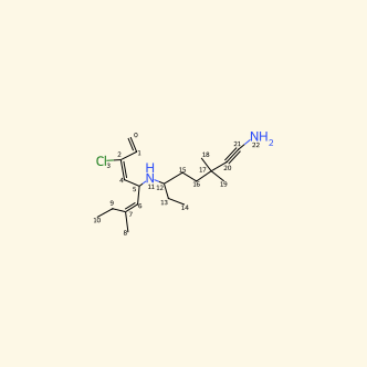 C=C/C(Cl)=C\C(/C=C(/C)CC)NC(CC)CCC(C)(C)C#CN